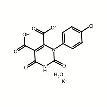 O.O=C(O)c1c(C(=O)[O-])n(-c2ccc(Cl)cc2)c(=O)[nH]c1=O.[K+]